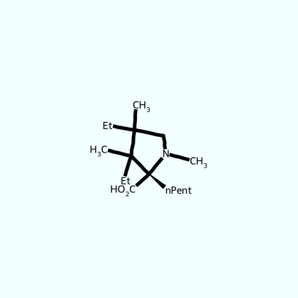 CCCCC[C@]1(C(=O)O)N(C)CC(C)(CC)C1(C)CC